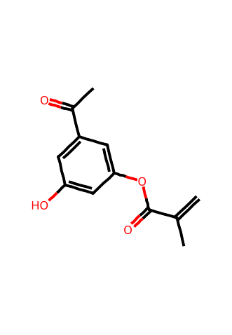 C=C(C)C(=O)Oc1cc(O)cc(C(C)=O)c1